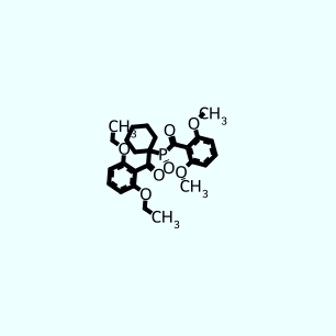 CCOc1cccc(OCC)c1C(=O)C1([P](=O)C(=O)c2c(OC)cccc2OC)CCCCC1